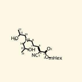 CCCCCCOC(=O)/C(C#N)=C/CCN(CC(C)O)CC(C)O